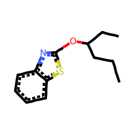 CCCC(CC)Oc1nc2ccccc2s1